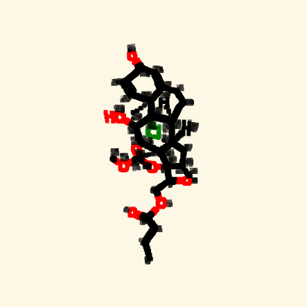 CCCC(=O)OCC(=O)[C@@]1(OC(=O)OC)[C@H](C)C[C@H]2[C@@H]3CCC4=CC(=O)C=C[C@]4(C)[C@@]3(Cl)C(O)C[C@@]21C